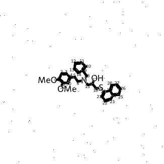 COc1ccc(CCN(Cc2ccccc2)CC(O)CSc2cccc3ccccc23)cc1OC